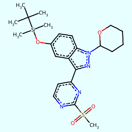 CC(C)(C)[Si](C)(C)Oc1ccc2c(c1)c(-c1ccnc(S(C)(=O)=O)n1)nn2C1CCCCO1